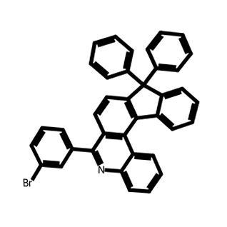 Brc1cccc(-c2nc3ccccc3c3c4c(ccc23)C(c2ccccc2)(c2ccccc2)c2ccccc2-4)c1